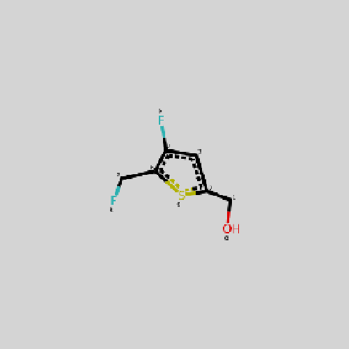 OCc1cc(F)c(CF)s1